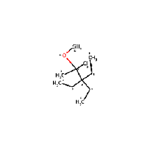 CCC(CC)(CC)C(C)(C)O[SiH3]